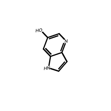 Oc1cnc2cc[nH]c2c1